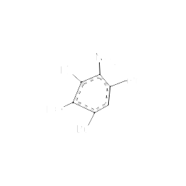 CC(C)c1cc(C(C)(C)C)c(O)c(O)c1[N+](=O)[O-]